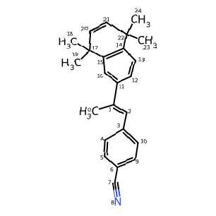 CC(=Cc1ccc(C#N)cc1)c1ccc2c(c1)C(C)(C)C=CC2(C)C